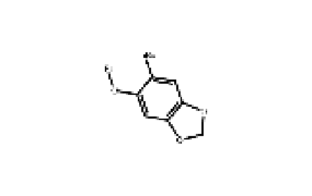 CCOc1cc2c(cc1C(C)CC)OCO2